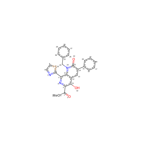 COC(=O)c1nc(-c2nccs2)c2c(cc(-c3ccccc3)c(=O)n2Cc2ccccc2)c1O